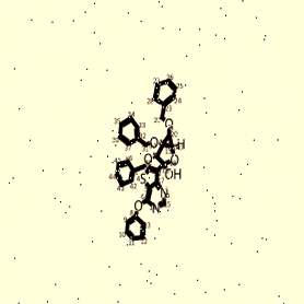 OC1(c2csc3c(Oc4ccccc4)ncnc23)O[C@@H]2C(OCc3ccccc3)[C@]2(OCc2ccccc2)[C@H]1OCc1ccccc1